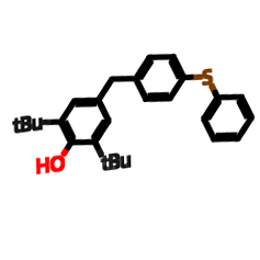 CC(C)(C)c1cc(Cc2ccc(Sc3ccccc3)cc2)cc(C(C)(C)C)c1O